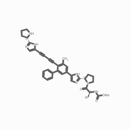 COC(=O)N[C@H](C(=O)N1CCC[C@H]1c1ncc(-c2cc(C)c(C#CC#Cc3cnc([C@@H]4CCCN4)[nH]3)c(-c3ccccc3)c2)[nH]1)C(C)C